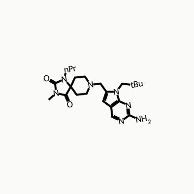 CCCN1C(=O)N(C)C(=O)C12CCN(Cc1cc3cnc(N)nc3n1CC(C)(C)C)CC2